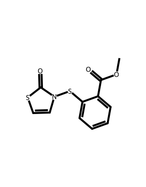 COC(=O)c1ccccc1Sn1ccsc1=O